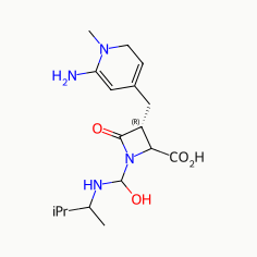 CC(C)C(C)NC(O)N1C(=O)[C@H](CC2=CCN(C)C(N)=C2)C1C(=O)O